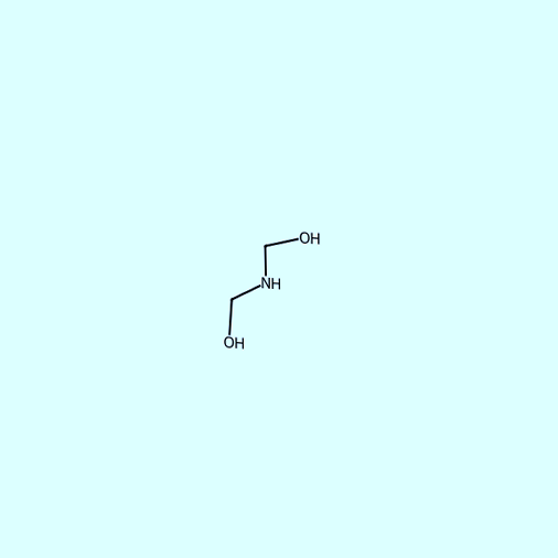 OCNCO